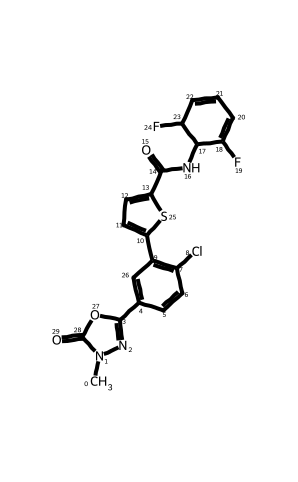 Cn1nc(-c2ccc(Cl)c(-c3ccc(C(=O)NC4C(F)=CC=CC4F)s3)c2)oc1=O